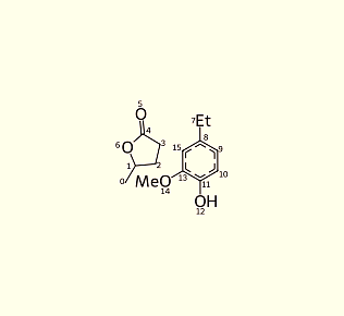 CC1CCC(=O)O1.CCc1ccc(O)c(OC)c1